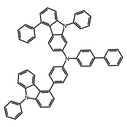 c1ccc(-c2ccc(N(c3ccc(-c4cccc5c4c4ccccc4n5-c4ccccc4)cc3)c3ccc4c5c(-c6ccccc6)cccc5n(-c5ccccc5)c4c3)cc2)cc1